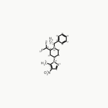 Cc1c([N+](=O)[O-])cnn1[C@@H]1CCN([C@H](C)c2ccccc2)C(C(F)F)C1